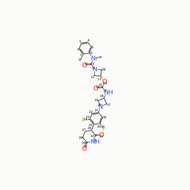 Cc1ccccc1N(C)C(=O)N1CC(OC(=O)NC2CN(c3cc(F)c(C4CCC(=O)NC4=O)c(F)c3)C2)C1